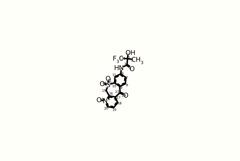 CC(O)(C(=O)Nc1ccc2c(c1)S(=O)(=O)Cc1c(ccc[n+]1[O-])C2=O)C(F)(F)F